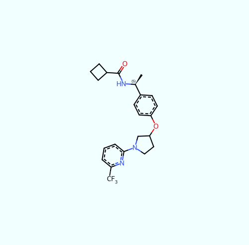 C[C@H](NC(=O)C1CCC1)c1ccc(OC2CCN(c3cccc(C(F)(F)F)n3)C2)cc1